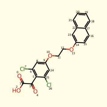 O=C(O)C(=O)c1c(Cl)cc(OCCOc2ccc3ccccc3c2)cc1Cl